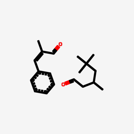 CC(C=O)=Cc1ccccc1.CC(CC=O)CC(C)(C)C